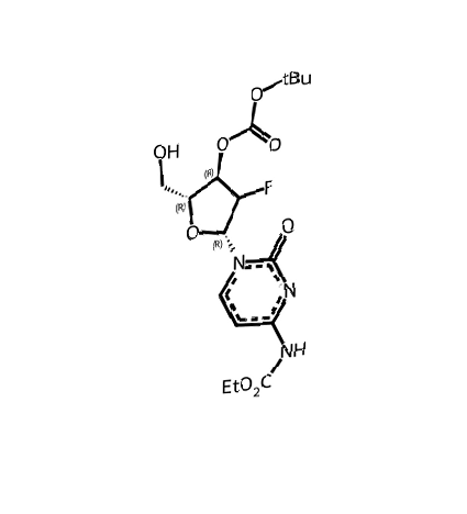 CCOC(=O)Nc1ccn([C@@H]2O[C@H](CO)[C@@H](OC(=O)OC(C)(C)C)C2F)c(=O)n1